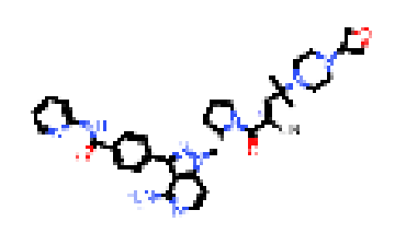 CC(C)(/C=C(\C#N)C(=O)N1CCC[C@H]1Cn1nc(-c2ccc(C(=O)Nc3ccccn3)cc2)c2c(N)nccc21)N1CCN(C2COC2)CC1